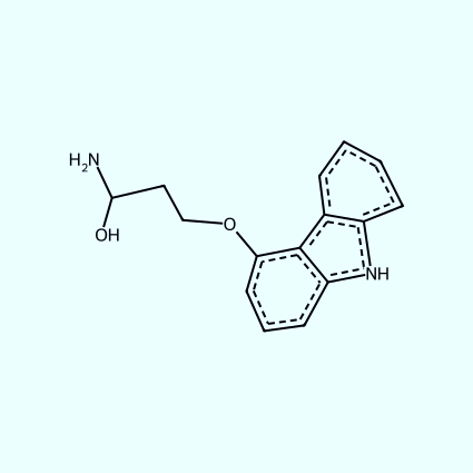 NC(O)CCOc1cccc2[nH]c3ccccc3c12